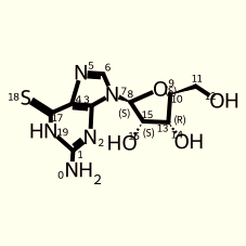 Nc1nc2c(ncn2[C@H]2O[C@@H](CO)[C@H](O)[C@@H]2O)c(=S)[nH]1